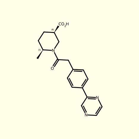 C[C@H]1CC[C@@H](C(=O)O)CN1C(=O)Cc1ccc(-c2cnccn2)cc1